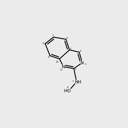 ONc1ncc2ccccc2n1